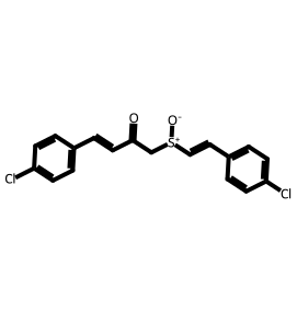 O=C(C=Cc1ccc(Cl)cc1)C[S+]([O-])/C=C/c1ccc(Cl)cc1